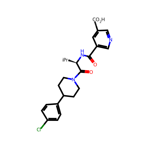 CC(C)[C@@H](NC(=O)c1cncc(C(=O)O)c1)C(=O)N1CCC(c2ccc(Cl)cc2)CC1